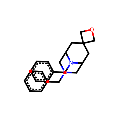 c1ccc(CN2CC3CC4(COC4)CC(C2)N3Cc2ccccc2)cc1